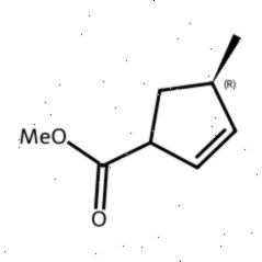 COC(=O)C1C=C[C@H](C)C1